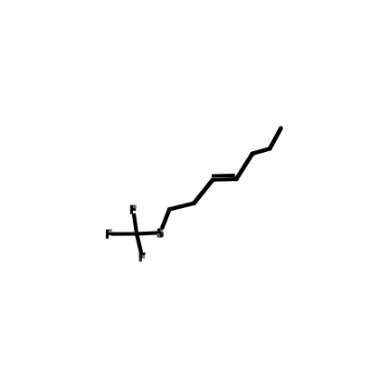 CCCC=CCCSC(F)(F)F